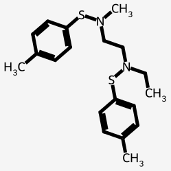 CCN(CCN(C)Sc1ccc(C)cc1)Sc1ccc(C)cc1